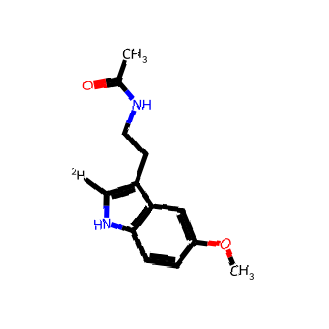 [2H]c1[nH]c2ccc(OC)cc2c1CCNC(C)=O